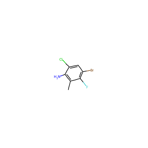 Cc1c(N)c(Cl)cc(Br)c1F